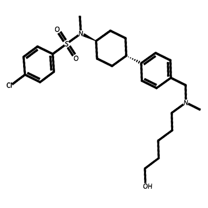 CN(CCCCCO)Cc1ccc([C@H]2CC[C@H](N(C)S(=O)(=O)c3ccc(Cl)cc3)CC2)cc1